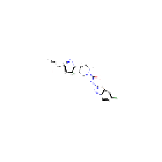 O=NC[C@@H](O)c1cnc(C2(F)CCN(C(=O)Nc3nc4ccc(F)cc4s3)CC2)c(F)c1